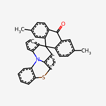 Cc1ccc2c(c1)C(=O)c1ccc(C)cc1C21c2ccccc2N2c3ccccc3Sc3cccc1c32